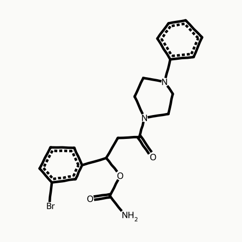 NC(=O)OC(CC(=O)N1CCN(c2ccccc2)CC1)c1cccc(Br)c1